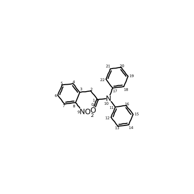 O=C(Cc1ccccc1[N+](=O)[O-])N(c1ccccc1)c1ccccc1